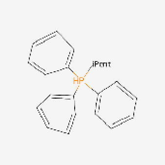 CCCC(C)[PH](c1ccccc1)(c1ccccc1)c1ccccc1